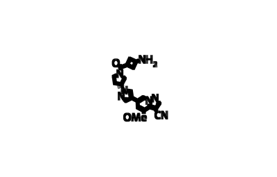 COc1cc(-c2cnn([C@H]3CCN(C(=O)C4CC(N)C4)C3)c2)cn2ncc(C#N)c12